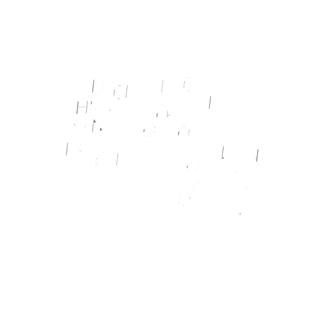 CC(I)C(=O)OC(COC(=O)c1cc(I)cc(I)c1I)COC1CC(C)(C)N(O)C(C)(C)C1